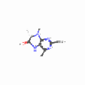 CNc1nc(C)c2c(n1)N(C)[C@@H](C)C(=O)N2